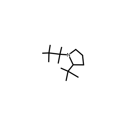 CC(C)(C)C1CCCN1C(C)(C)C(C)(C)C